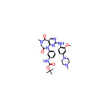 COc1cc(N2CCN(C)CC2)ccc1Nc1ncc2c(n1)N(c1cccc(NC(=O)OC(C)(C)C)c1)C(=O)CN(C)C2=O